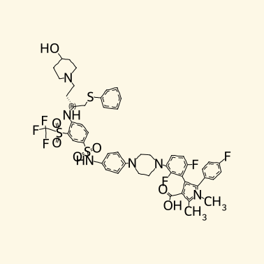 Cc1c(C(=O)O)c(-c2c(F)ccc(N3CCN(c4ccc(NS(=O)(=O)c5ccc(N[C@H](CCN6CCC(O)CC6)CSc6ccccc6)c(S(=O)(=O)C(F)(F)F)c5)cc4)CC3)c2F)c(-c2ccc(F)cc2)n1C